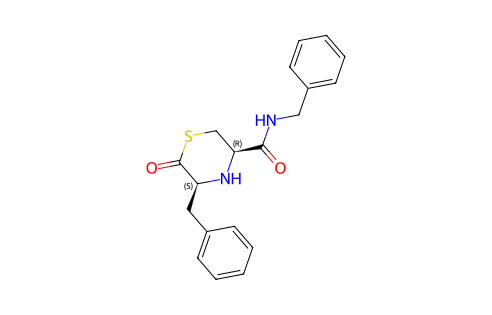 O=C(NCc1ccccc1)[C@@H]1CSC(=O)[C@H](Cc2ccccc2)N1